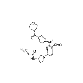 C=CC(=O)N[C@@H]1CCN(c2ccc(C=O)c(Nc3ccc(C(=O)N4CCOCC4)cc3)n2)C1